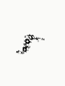 CCCCOc1ccc(C(=O)N(C)c2ccc(N3CCC4(CCN(C(=O)OC(C)(C)C)C4)C3)c(F)c2)cc1